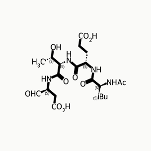 CC[C@H](C)[C@H](NC(C)=O)C(=O)N[C@@H](CCC(=O)O)C(=O)N[C@H](C(=O)N[C@H](C=O)CC(=O)O)[C@H](C)O